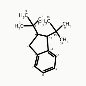 CC(C)(C)C1Cc2ccccc2C1C(C)(C)C